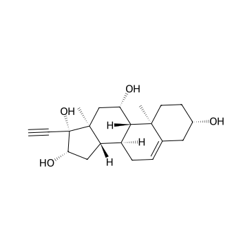 C#C[C@]1(O)[C@@H](O)C[C@H]2[C@@H]3CC=C4C[C@@H](O)CC[C@]4(C)[C@H]3[C@@H](O)C[C@@]21C